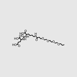 CCCOCCOCCOCCOCCC(=O)NCCCCC(NC(=O)NC(CCC(=O)O)C(=O)O)C(=O)O